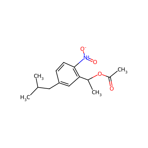 CC(=O)OC(C)c1cc(CC(C)C)ccc1[N+](=O)[O-]